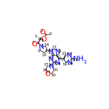 CC(=O)O[C@@H](C)C(=O)N1CCC(n2cnc3c(-c4cnc(N)nc4)nc(N4CCOCC4)nc32)C1